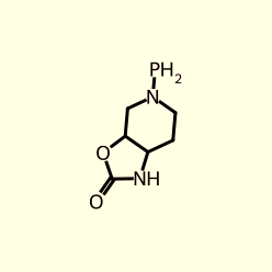 O=C1NC2CCN(P)CC2O1